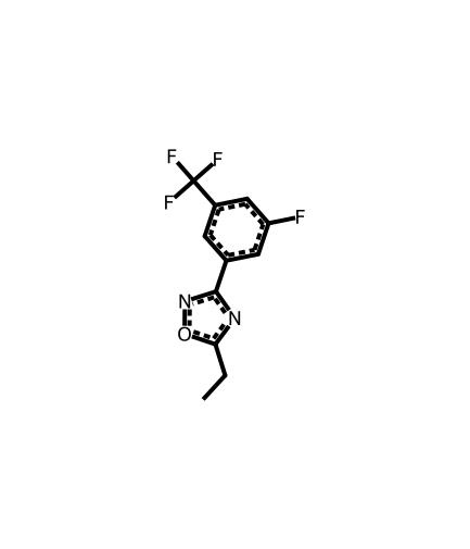 CCc1nc(-c2cc(F)cc(C(F)(F)F)c2)no1